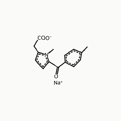 Cc1ccc(C(=O)c2ccc(CC(=O)[O-])n2C)cc1.[Na+]